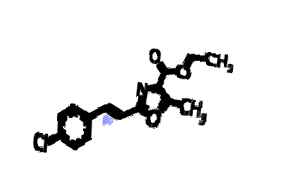 CCOC(=O)c1nc(/C=C/c2ccc(Cl)cc2)oc1C